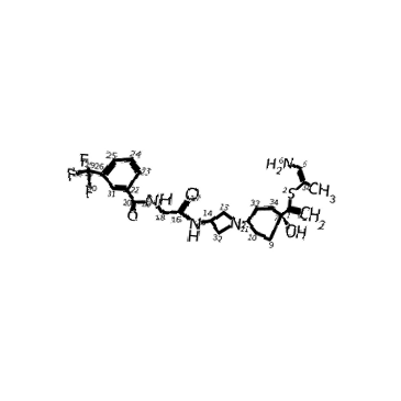 C=C(S/C(C)=C\N)[C@]1(O)CC[C@H](N2CC(NC(=O)CNC(=O)c3cccc(C(F)(F)F)c3)C2)CC1